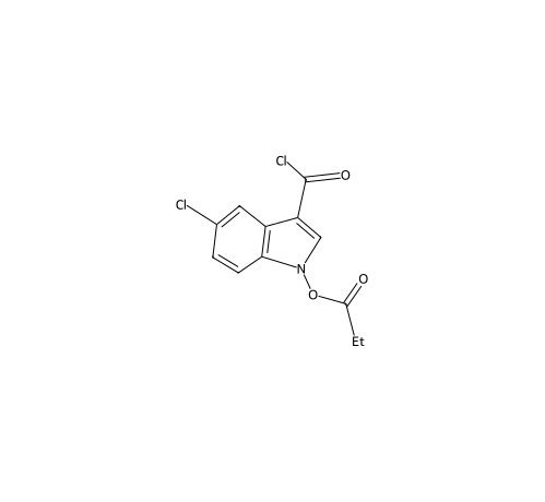 CCC(=O)On1cc(C(=O)Cl)c2cc(Cl)ccc21